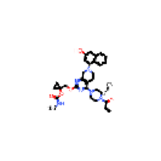 C=CC(=O)N1CCN(c2nc(OCC3(OC(=O)NC(C)(C)C)CC3)nc3c2CCN(c2cc(O)cc4ccccc24)C3)C[C@@H]1CC#N